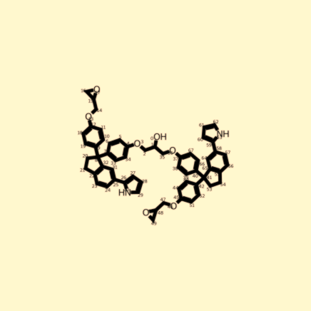 OC(COc1ccc(C2(c3ccc(OCC4CO4)cc3)CCc3ccc(-c4ccc[nH]4)cc32)cc1)COc1ccc(C2(c3ccc(OCC4CO4)cc3)CCc3ccc(-c4ccc[nH]4)cc32)cc1